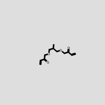 C=CC(=O)COCC(C)COCC(=O)C=C